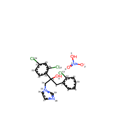 O=[N+]([O-])O.OC(Cc1ccccc1Cl)(Cn1ccnc1)c1ccc(Cl)cc1Cl